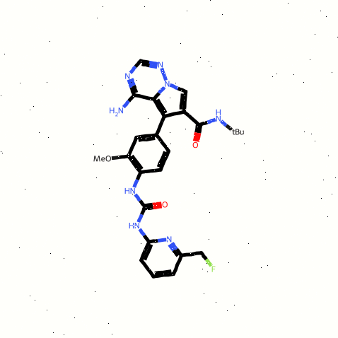 COc1cc(-c2c(C(=O)NC(C)(C)C)cn3ncnc(N)c23)ccc1NC(=O)Nc1cccc(CF)n1